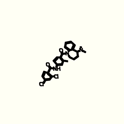 Cc1cc(NC(=O)c2ccc(Cl)cc2Cl)ccc1C(=O)N1CCCC(N(C)C)c2ccccc21